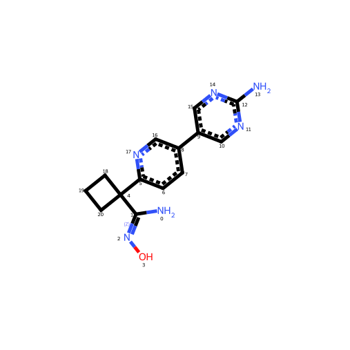 N/C(=N\O)C1(c2ccc(-c3cnc(N)nc3)cn2)CCC1